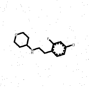 Fc1cc(Cl)ccc1CCNC1CCOCC1